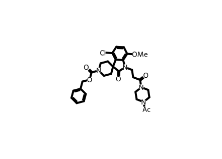 COc1ccc(Cl)c2c1N(CCC(=O)N1CCN(C(C)=O)CC1)C(=O)C21CCN(C(=O)OCc2ccccc2)CC1